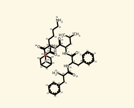 CC(C)CC(NC(=O)C(Cc1ccccc1)NC(=O)C(N)Cc1ccccc1)C(=O)NC(CCCCN)C(=O)N1CC2CC(C1)N2CC(N)=O